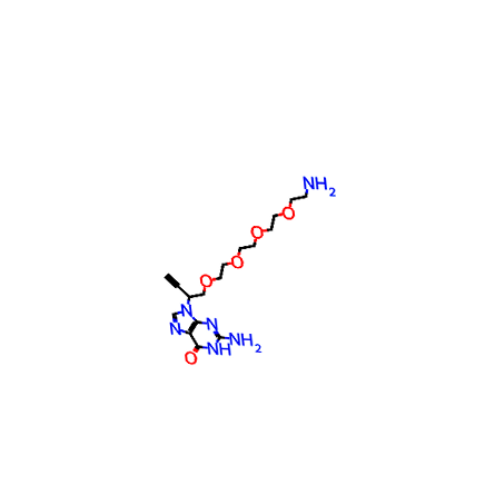 C#CC(COCCOCCOCCOCCN)n1cnc2c(=O)[nH]c(N)nc21